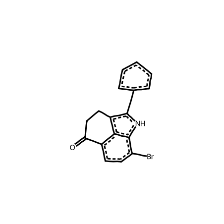 O=C1CCc2c(-c3ccccc3)[nH]c3c(Br)ccc1c23